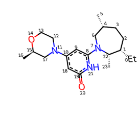 CC[C@H]1CC[C@@H](C)CN(c2cc(N3CCO[C@H](C)C3)cc(=O)[nH]2)[C@H]1C